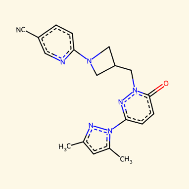 Cc1cc(C)n(-c2ccc(=O)n(CC3CN(c4ccc(C#N)cn4)C3)n2)n1